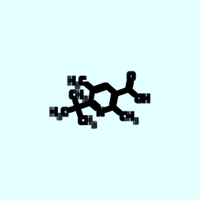 Cc1cc(C(=O)O)c(C)nc1C(C)(C)C